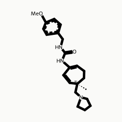 COc1ccc(CNC(=O)NC2=CCC[C@@](C)(CN3CCCC3)C=C2)cc1